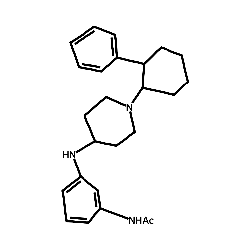 CC(=O)Nc1cccc(NC2CCN(C3CCCCC3c3ccccc3)CC2)c1